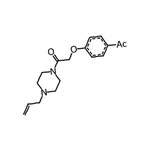 C=CCN1CCN(C(=O)COc2ccc(C(C)=O)cc2)CC1